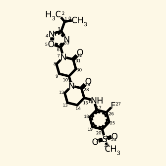 CC(C)c1noc(N2CCC(N3CCCC(Nc4ccc(S(C)(=O)=O)cc4F)C3=O)CC2=O)n1